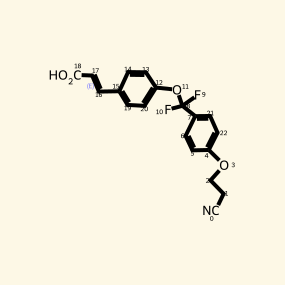 N#CCCOc1ccc(C(F)(F)Oc2ccc(/C=C/C(=O)O)cc2)cc1